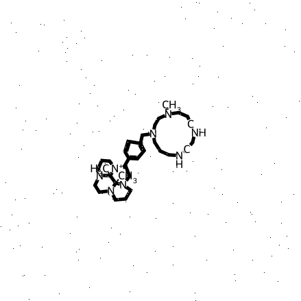 CN1CCCNCCNCCCN(Cc2ccc(C[N+]34CCCN5CCN6CCCN(CC3)[C@]6(C)[C@@]54C)cc2)CC1